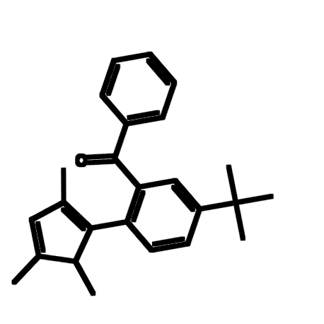 CC1=CC(C)=C(c2ccc(C(C)(C)C)cc2C(=O)c2ccccc2)C1C